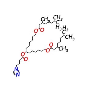 CC(C)CCCC(C)CC(=O)OCCCCCCC(CCCCCCOC(=O)CC(C)CCCC(C)C)OC(=O)CCCn1ccnc1